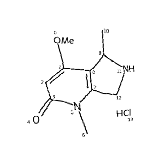 COc1cc(=O)n(C)c2c1C(C)NC2.Cl